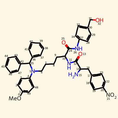 COc1ccc(N(CCCCC(NC(=O)C(N)Cc2ccc([N+](=O)[O-])cc2)C(=O)Nc2ccc(CO)cc2)C(c2ccccc2)c2ccccc2)cc1